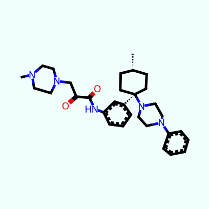 CN1CCN(CC(=O)C(=O)Nc2cccc([C@]3(N4CCN(c5ccccc5)CC4)CC[C@H](C)CC3)c2)CC1